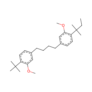 CCC(C)(C)c1ccc(CCCCc2ccc(C(C)(C)C)c(OC)c2)cc1OC